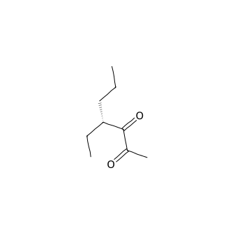 CCC[C@@H](CC)C(=O)C(C)=O